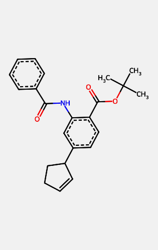 CC(C)(C)OC(=O)c1ccc(C2C=CCC2)cc1NC(=O)c1ccccc1